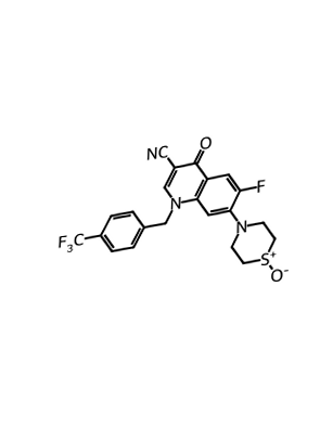 N#Cc1cn(Cc2ccc(C(F)(F)F)cc2)c2cc(N3CC[S+]([O-])CC3)c(F)cc2c1=O